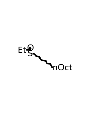 CCCCCCCCCCCCCCCCSC(=O)CC